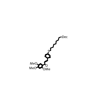 CCCCCCCCCCCCCCCCCCSc1ccc(C=CC(=O)c2cc(OC)c(OC)cc2OC)cc1